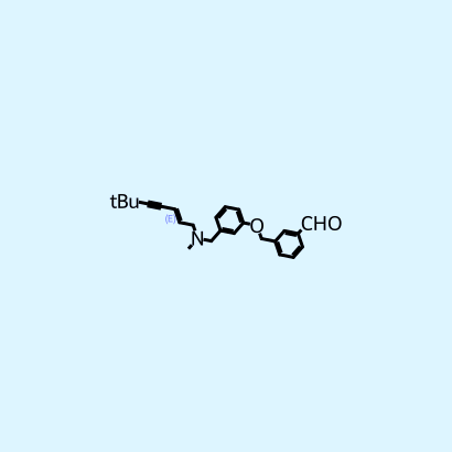 CN(C/C=C/C#CC(C)(C)C)Cc1cccc(OCc2cccc(C=O)c2)c1